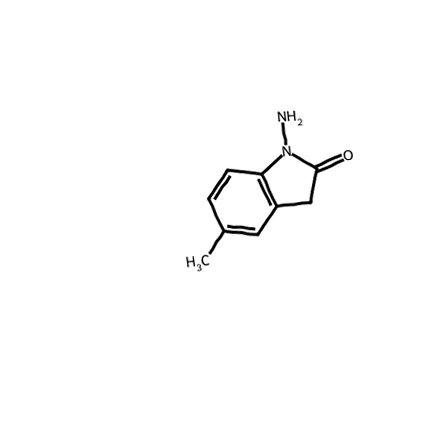 Cc1ccc2c(c1)CC(=O)N2N